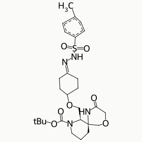 Cc1ccc(S(=O)(=O)NN=C2CCC(OC[C@@H]3N(C(=O)OC(C)(C)C)CCC[C@@]34COCC(=O)N4)CC2)cc1